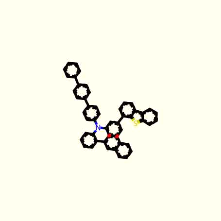 c1ccc(-c2ccc(-c3ccc(N(c4cccc(-c5cccc6c5sc5ccccc56)c4)c4ccccc4-c4ccc5ccccc5c4)cc3)cc2)cc1